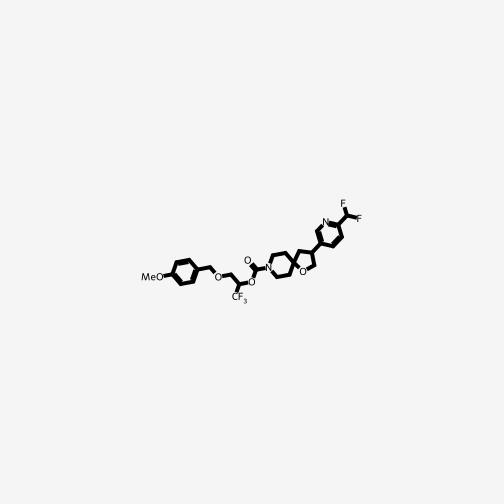 COc1ccc(COCC(OC(=O)N2CCC3(CC2)CC(c2ccc(C(F)F)nc2)CO3)C(F)(F)F)cc1